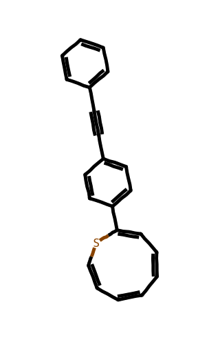 C(#Cc1ccc(-c2cccccccs2)cc1)c1ccccc1